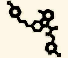 Cc1cccc2c1c1c(n2C(=O)NCc2ccnc(Cl)c2)CCN(CC=Cc2ccc(Cl)cc2)C1